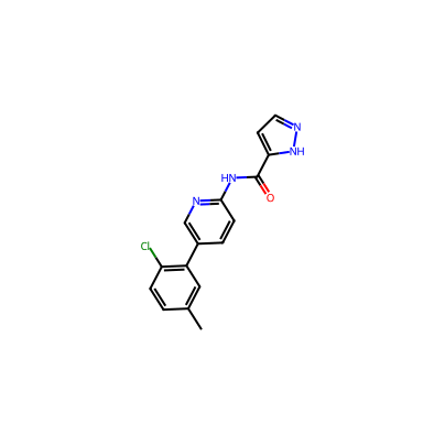 Cc1ccc(Cl)c(-c2ccc(NC(=O)c3ccn[nH]3)nc2)c1